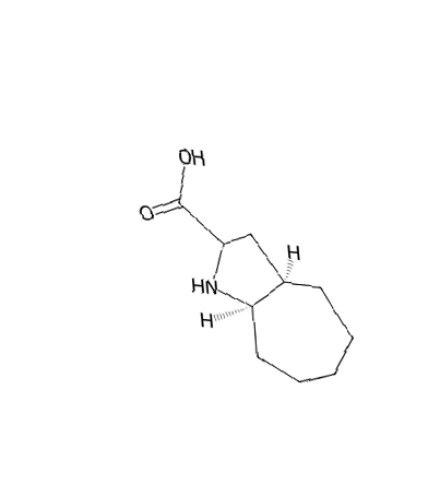 O=C(O)C1C[C@H]2CCCCC[C@H]2N1